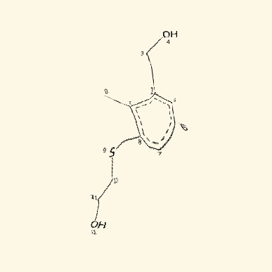 Cc1c(CO)cccc1SCCO